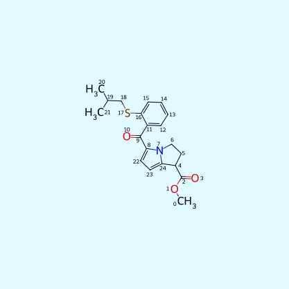 COC(=O)C1CCn2c(C(=O)c3ccccc3SCC(C)C)ccc21